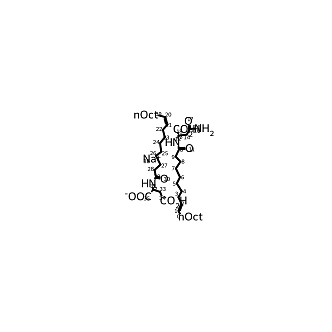 CCCCCCCC/C=C/CCCCCCCC(=O)N[C@@H](CC(N)=O)C(=O)O.CCCCCCCC/C=C\CCCCCCCC(=O)N[C@@H](CC(=O)O)C(=O)[O-].[Na+]